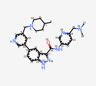 CC1CCN(Cc2cncc(-c3ccc4[nH]nc(C(=O)Nc5ccc(CN(C)C)nc5)c4c3)c2)CC1